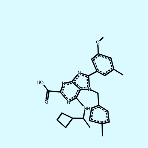 COc1cc(C)cc(-c2nc3nc(C(=O)O)nc(NC(C)C4CCC4)c3n2Cc2ccc(C)cc2)c1